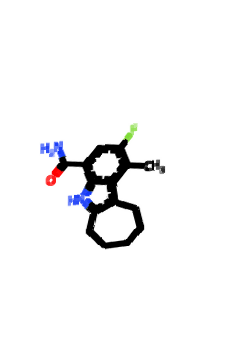 Cc1c(F)cc(C(N)=O)c2[nH]c3c(c12)CCCCC3